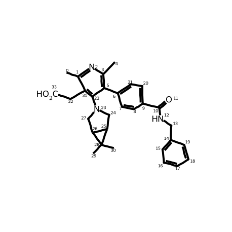 Cc1nc(C)c(-c2ccc(C(=O)NCc3ccccc3)cc2)c(N2CC3C(C2)C3(C)C)c1CC(=O)O